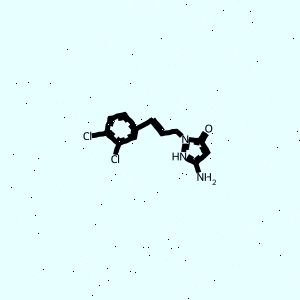 Nc1cc(=O)n(CC=Cc2ccc(Cl)c(Cl)c2)[nH]1